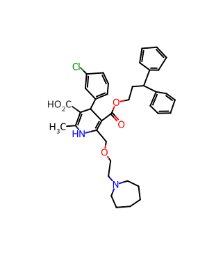 CC1=C(C(=O)O)C(c2cccc(Cl)c2)C(C(=O)OCCC(c2ccccc2)c2ccccc2)=C(COCCN2CCCCCC2)N1